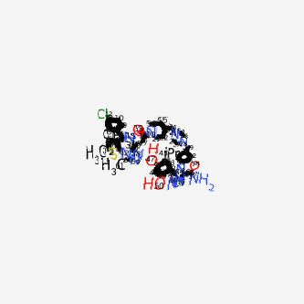 Cc1sc2c(c1C)C(c1ccc(Cl)cc1)=N[C@@H](CC(=O)N1CCC(CN3CCN(Cc4ccc(-n5c(C(N)=O)nnc5-c5cc(C(C)C)c(O)cc5O)cc4)CC3)CC1)c1nnc(C)n1-2